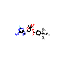 CC(C)(C)[C@H]1CC[C@H](C(=O)O[C@H]2C[C@H](n3cnc4c(N)nc(F)nc43)O[C@]2(C)CO)CC1